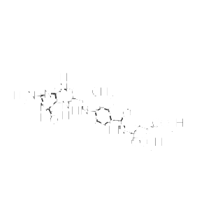 C.Nc1nc2c(c(=O)[nH]1)NC(CNc1ccc(C(=O)NC(CCC(=O)O)C(=O)O)cc1)CN2